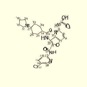 O=C(O)Nc1ccc2oc(C(=O)Nc3ccc(Cl)cn3)c(NC(=O)C3CCC(N4CCCC4)CC3)c2n1